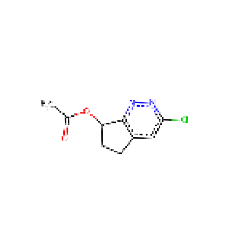 O=C(OC1CCc2cc(Cl)nnc21)C(F)(F)F